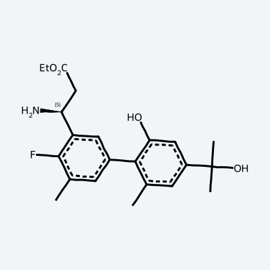 CCOC(=O)C[C@H](N)c1cc(-c2c(C)cc(C(C)(C)O)cc2O)cc(C)c1F